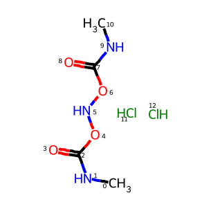 CNC(=O)ONOC(=O)NC.Cl.Cl